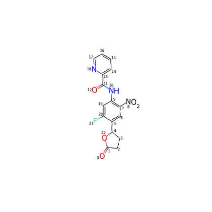 O=C1CCC(c2cc([N+](=O)[O-])c(NC(=O)c3ccccn3)cc2F)O1